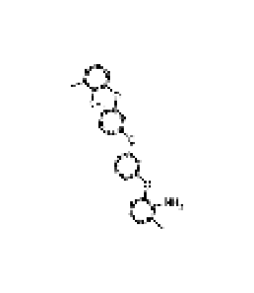 Cc1cccc(Oc2cccc(Oc3cccc(Oc4cccc(C)c4N)c3)c2)c1N